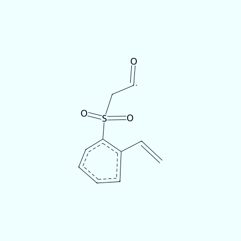 C=Cc1ccccc1S(=O)(=O)C[C]=O